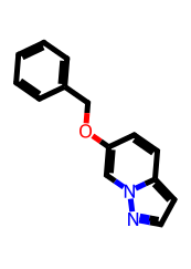 c1ccc(COc2ccc3ccnn3c2)cc1